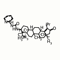 CC(C)C1=C2[C@H]3CC[C@@H]4[C@@]5(C)CCC(NC(=O)Nc6ccccn6)C(C)(C)[C@@H]5CC[C@@]4(C)[C@]3(C)CC[C@@]2(C)CC1=O